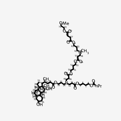 CCCC(=O)OCCCCOC(=O)CCN(CCCOC(=O)CC[C@@H](C)[C@H]1CC[C@H]2[C@@H]3CC[C@@H]4CC(O)CC[C@]4(C)[C@H]3C[C@H](O)[C@]12C)CCC(=O)OCCCCOC(=O)CCN(C)CCCOC(=O)CCC(=O)OCCOC